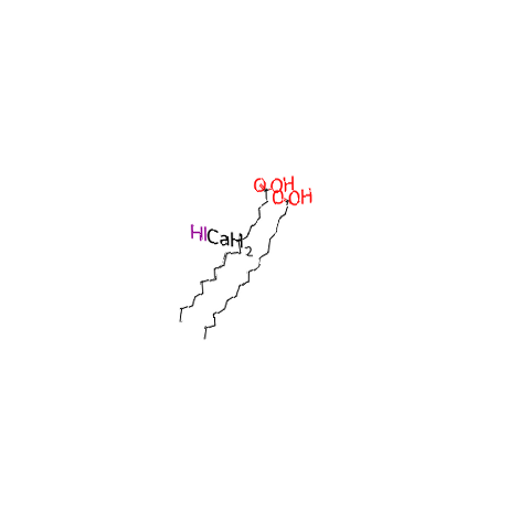 CCCCCCCCCCCCCCCCCC(=O)O.CCCCCCCCCCCCCCCCCC(=O)O.I.[CaH2]